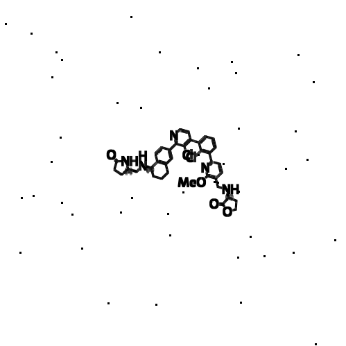 COc1nc(-c2cccc(-c3ccnc(-c4ccc5c(c4)CCC[C@H]5NC[C@H]4CCC(=O)N4)c3Cl)c2Cl)ccc1CN[C@H]1CCOC1=O